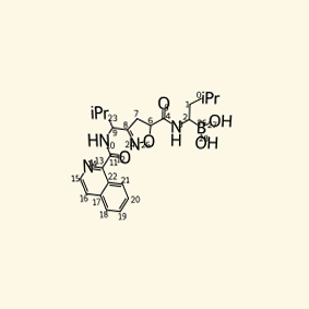 CC(C)CC(NC(=O)C1CC(C(NC(=O)c2nccc3ccccc23)C(C)C)=NO1)B(O)O